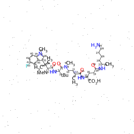 CNC(C(=O)NC(C(=O)N(C)C/C=C(\C)C(=O)N[C@H](CCC(=O)NC(C)CCCCN)C(=O)O)C(C)(C)C)C(C)(C)c1cn(C)c2ccc(F)cc12